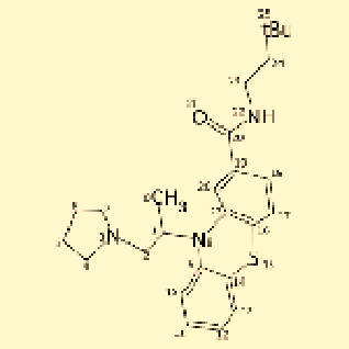 CC(CN1CCCC1)N1c2ccccc2Sc2ccc(C(=O)NCCC(C)(C)C)cc21